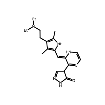 CCN(CC)CCc1c(C)[nH]c(C=C2NC=CN=C2C2C=NNC2=O)c1C